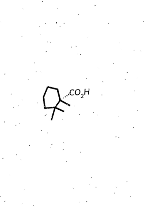 CC1(C)CCCC[C@]1(C)C(=O)O